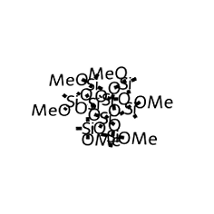 CO[Si](C)(C)O[Si]1(O[Si](C)(C)OC)O[Si](O[Si](C)(C)OC)(O[Si](C)(C)OC)O[Si](O[Si](C)(C)OC)(O[Si](C)(C)OC)O1